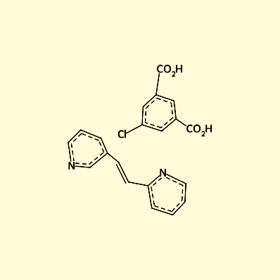 C(=Cc1ccccn1)c1cccnc1.O=C(O)c1cc(Cl)cc(C(=O)O)c1